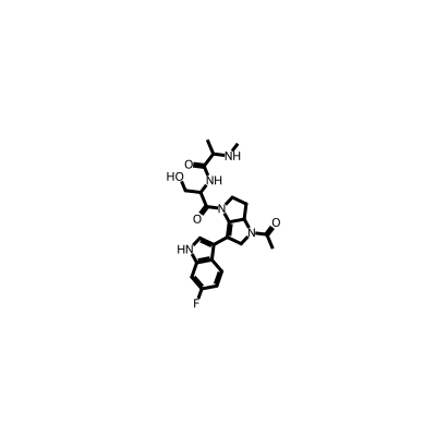 CNC(C)C(=O)NC(CO)C(=O)N1CCC2C1=C(c1c[nH]c3cc(F)ccc13)CN2C(C)=O